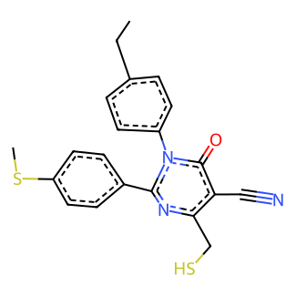 CCc1ccc(-n2c(-c3ccc(SC)cc3)nc(CS)c(C#N)c2=O)cc1